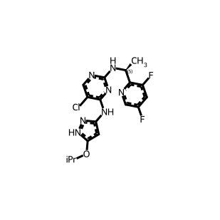 CC(C)Oc1cc(Nc2nc(N[C@@H](C)c3ncc(F)cc3F)ncc2Cl)n[nH]1